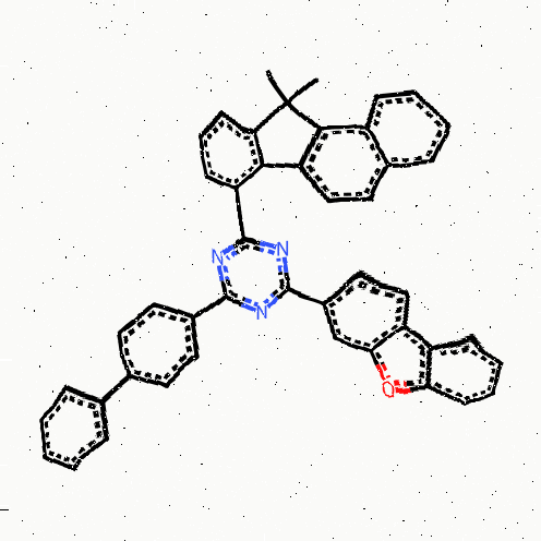 CC1(C)c2cccc(-c3nc(-c4ccc(-c5ccccc5)cc4)nc(-c4ccc5c(c4)oc4ccccc45)n3)c2-c2ccc3ccccc3c21